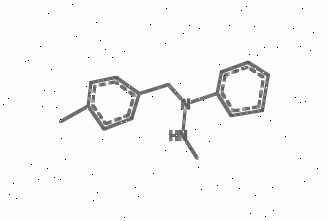 CNN(Cc1ccc(C)cc1)c1ccccc1